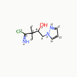 CC(C)(C(=N)Cl)C(O)Cn1cccn1